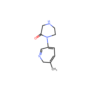 CC1=CC=C(N2CCNCC2=O)C=NC1